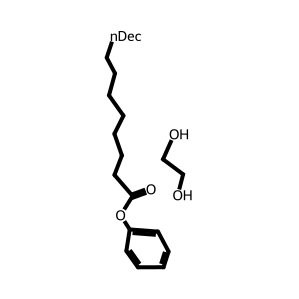 CCCCCCCCCCCCCCCCCC(=O)Oc1ccccc1.OCCO